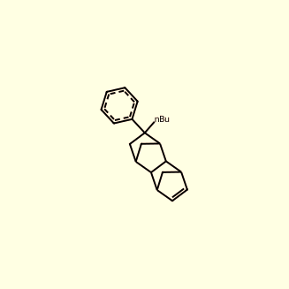 CCCCC1(c2ccccc2)CC2CC1C1C3C=CC(C3)C21